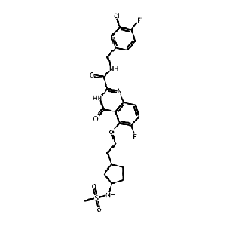 CS(=O)(=O)NC1CCC(CCOc2c(F)ccc3nc(C(=O)NCc4ccc(F)c(Cl)c4)[nH]c(=O)c23)C1